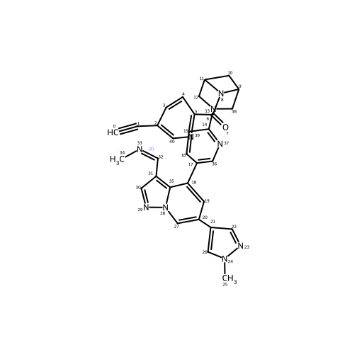 C#Cc1ccc(C(=O)N2C3CC2CN(c2ccc(-c4cc(-c5cnn(C)c5)cn5ncc(/C=N\C)c45)cn2)C3)nc1